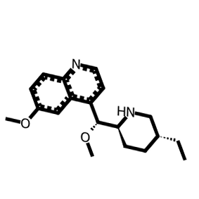 CC[C@@H]1CC[C@@H]([C@H](OC)c2ccnc3ccc(OC)cc23)NC1